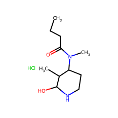 CCCC(=O)N(C)C1CCNC(O)C1C.Cl